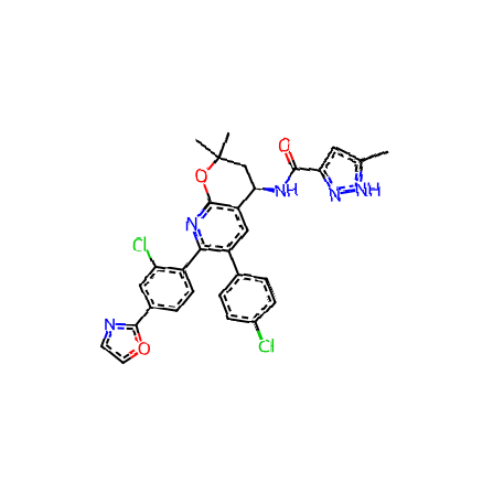 Cc1cc(C(=O)N[C@@H]2CC(C)(C)Oc3nc(-c4ccc(-c5ncco5)cc4Cl)c(-c4ccc(Cl)cc4)cc32)n[nH]1